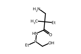 CCN(CO)NC(=O)C(C)(CC)CN